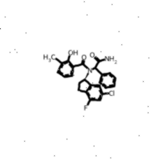 Cc1cccc(C(=O)N(C(C(N)=O)c2ccccc2)[C@@H]2CCc3c(F)cc(Cl)cc32)c1O